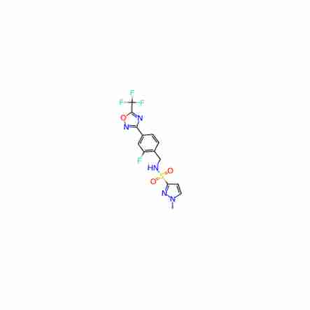 Cn1ccc(S(=O)(=O)NCc2ccc(-c3noc(C(F)(F)F)n3)cc2F)n1